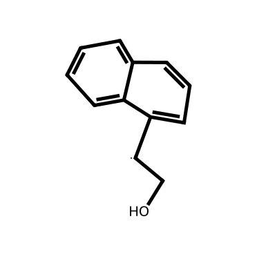 OC[CH]c1cccc2ccccc12